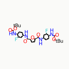 CC(C)(C)OC(=O)Nc1ccc(NC(=O)c2ccc(C(=O)Nc3ccc(NC(=O)OC(C)(C)C)c(F)c3)o2)cc1F